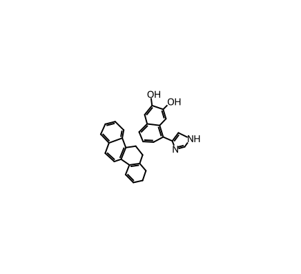 C1=CC2=C(CC1)CCc1c2ccc2ccccc12.Oc1cc2cccc(-c3c[nH]cn3)c2cc1O